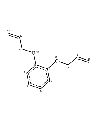 C=CCOc1[c]cccc1OCC=C